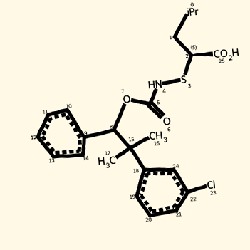 CC(C)C[C@H](SNC(=O)OC(c1ccccc1)C(C)(C)c1cccc(Cl)c1)C(=O)O